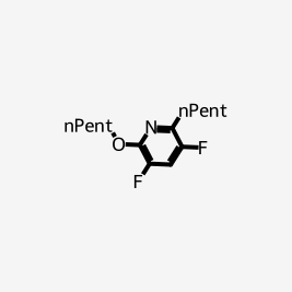 CCCCCOc1nc(CCCCC)c(F)cc1F